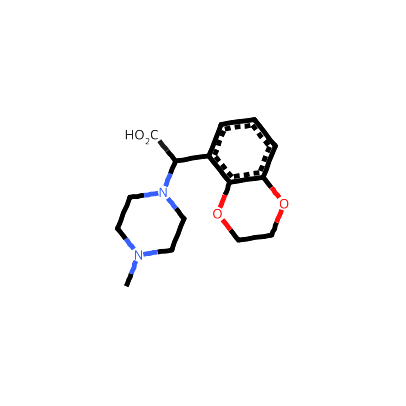 CN1CCN(C(C(=O)O)c2cccc3c2OCCO3)CC1